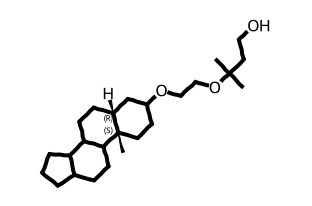 CC(C)(CCO)OCCOC1CC[C@]2(C)C3CCC4CCCC4C3CC[C@@H]2C1